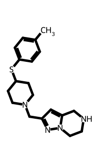 Cc1ccc(SC2CCN(Cc3cc4n(n3)CCNC4)CC2)cc1